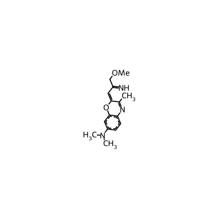 COCC(=N)/C=C1/Oc2cc(N(C)C)ccc2N=C1C